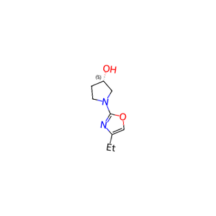 CCc1coc(N2CC[C@H](O)C2)n1